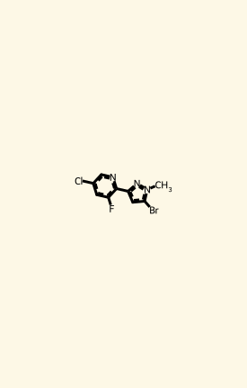 Cn1nc(-c2ncc(Cl)cc2F)cc1Br